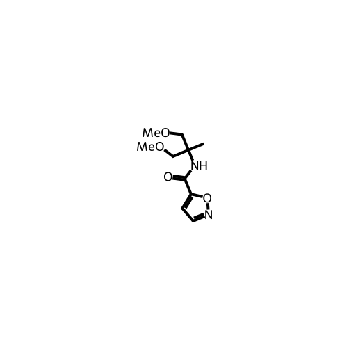 COCC(C)(COC)NC(=O)c1ccno1